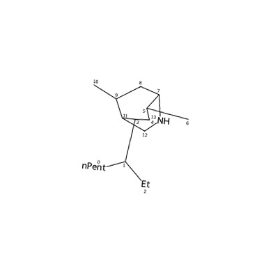 CCCCCC(CC)C1CC(C)C2CC(C)C1CN2